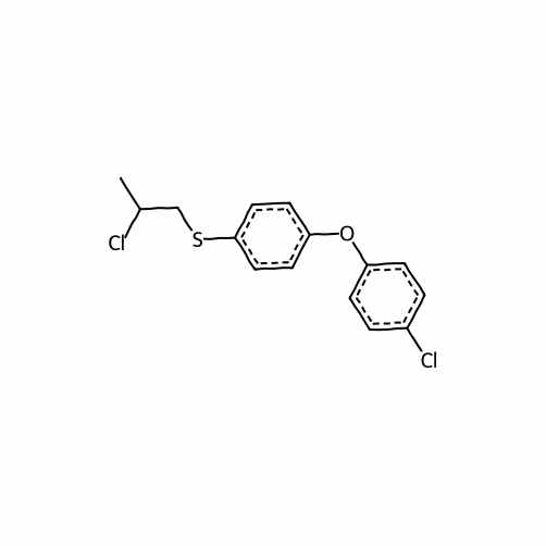 CC(Cl)CSc1ccc(Oc2ccc(Cl)cc2)cc1